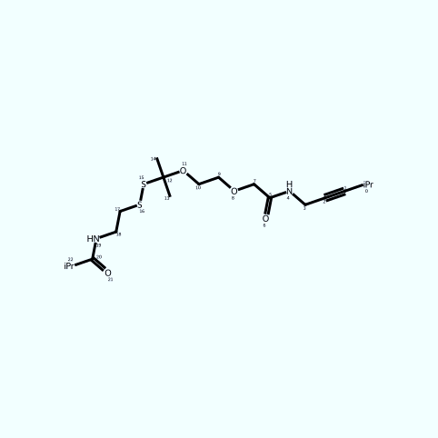 CC(C)C#CCNC(=O)COCCOC(C)(C)SSCCNC(=O)C(C)C